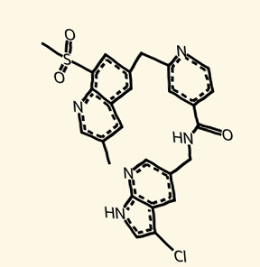 Cc1cnc2c(S(C)(=O)=O)cc(Cc3cc(C(=O)NCc4cnc5[nH]cc(Cl)c5c4)ccn3)cc2c1